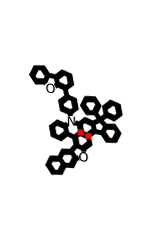 c1ccc(C2(c3ccccc3)c3ccccc3-c3ccc(N(c4ccc(-c5cccc6c5oc5ccccc56)cc4)c4ccccc4-c4cccc5oc6cc7ccccc7cc6c45)cc32)cc1